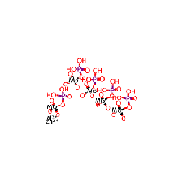 O=P(O)(O)[O][Mo](=[O])(=[O])[O-].O=P(O)(O)[O][Mo](=[O])(=[O])[O-].O=P(O)(O)[O][Mo](=[O])(=[O])[O-].O=P(O)(O)[O][Mo](=[O])(=[O])[O-].O=P(O)(O)[O][Mo](=[O])(=[O])[O-].[Al+3].[Zn+2]